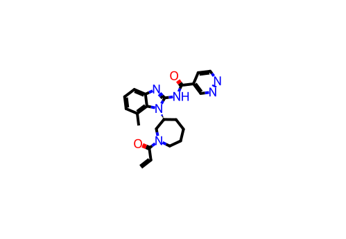 C=CC(=O)N1CCCC[C@@H](n2c(NC(=O)c3ccnnc3)nc3cccc(C)c32)C1